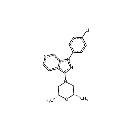 C[C@@H]1CN(c2nn(-c3ccc(Cl)cc3)c3cnccc23)C[C@H](C)O1